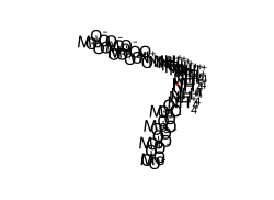 O=[N+]([O-])[O-].[NH4+].[NH4+].[NH4+].[NH4+].[NH4+].[NH4+].[NH4+].[NH4+].[NH4+].[NH4+].[NH4+].[NH4+].[NH4+].[NH4+].[NH4+].[O]=[Mo](=[O])([O-])[O-].[O]=[Mo](=[O])([O-])[O-].[O]=[Mo](=[O])([O-])[O-].[O]=[Mo](=[O])([O-])[O-].[O]=[Mo](=[O])([O-])[O-].[O]=[Mo](=[O])([O-])[O-].[O]=[Mo](=[O])([O-])[O-]